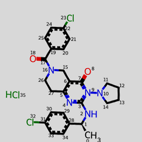 C[C@H](Nc1nc2c(c(=O)n1N1CCCC1)CN(C(=O)c1ccc(Cl)cc1)CC2)c1ccc(Cl)cc1.Cl